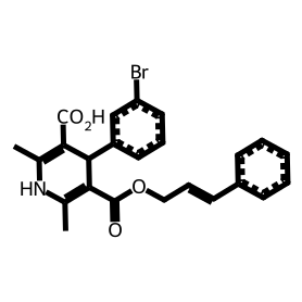 CC1=C(C(=O)O)C(c2cccc(Br)c2)C(C(=O)OCC=Cc2ccccc2)=C(C)N1